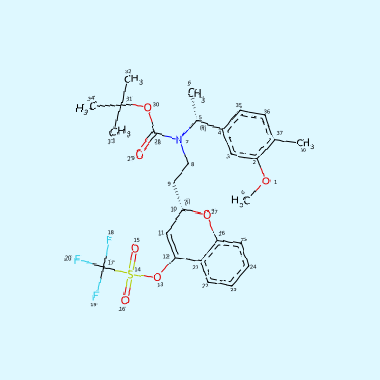 COc1cc([C@@H](C)N(CC[C@H]2C=C(OS(=O)(=O)C(F)(F)F)c3ccccc3O2)C(=O)OC(C)(C)C)ccc1C